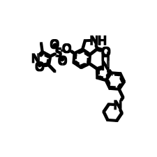 Cc1noc(C)c1S(=O)(=O)Oc1ccc(-c2cc3cc(CN4CCCCC4)ccc3[nH]2)c2c1CNC2=O